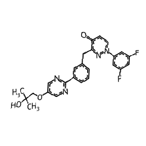 CC(C)(O)COc1cnc(-c2cccc(Cc3nn(-c4cc(F)cc(F)c4)ccc3=O)c2)nc1